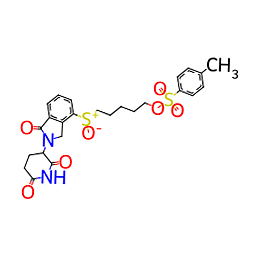 Cc1ccc(S(=O)(=O)OCCCCC[S+]([O-])c2cccc3c2CN(C2CCC(=O)NC2=O)C3=O)cc1